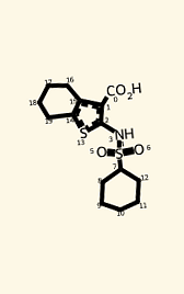 O=C(O)c1c(NS(=O)(=O)C2CCCCC2)sc2c1CCCC2